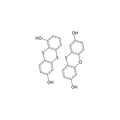 Oc1ccc2c(c1)Oc1ccc(O)cc1S2.Oc1ccc2c(c1)Sc1cccc(O)c1S2